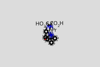 CCCc1nc(C(=O)O)c(C(=O)O)n1Cc1ccc(-c2ccccc2-c2nnnn2C(c2ccccc2)(c2ccccc2)c2ccccc2)cc1